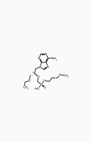 CCOC[C@H](Cn1cnc2c(N)ncnc21)OCP(=O)(O)OCCCOC